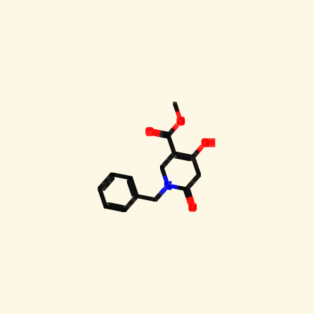 COC(=O)C1=C(O)CC(=O)N(Cc2ccccc2)C1